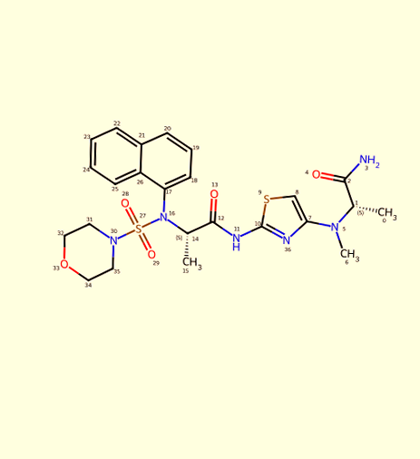 C[C@@H](C(N)=O)N(C)c1csc(NC(=O)[C@H](C)N(c2cccc3ccccc23)S(=O)(=O)N2CCOCC2)n1